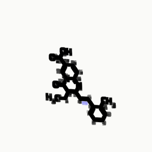 CCc1c(/C=C/c2ccccc2C)nc2ccc(C(=O)O)cn2c1=O